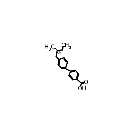 CC[C@H](C)Cc1ccc(-c2ccc(C(=O)O)cc2)cc1